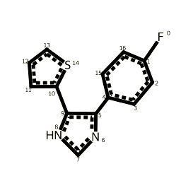 Fc1ccc(-c2nc[nH]c2-c2cccs2)cc1